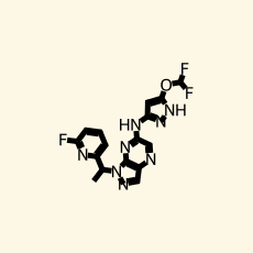 CC(c1cccc(F)n1)n1ncc2ncc(Nc3cc(OC(F)F)[nH]n3)nc21